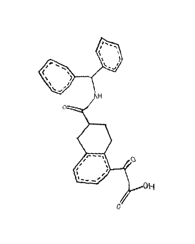 O=C(O)C(=O)c1cccc2c1CCC(C(=O)NC(c1ccccc1)c1ccccc1)C2